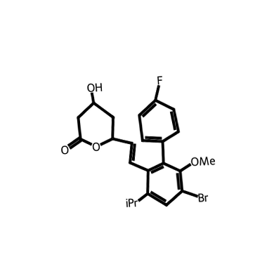 COc1c(Br)cc(C(C)C)c(/C=C/C2CC(O)CC(=O)O2)c1-c1ccc(F)cc1